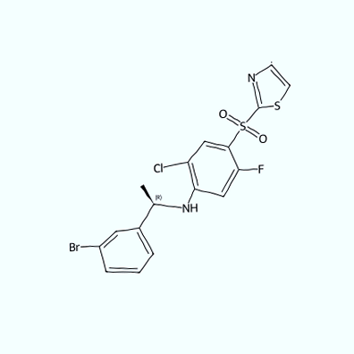 C[C@@H](Nc1cc(F)c(S(=O)(=O)c2n[c]cs2)cc1Cl)c1cccc(Br)c1